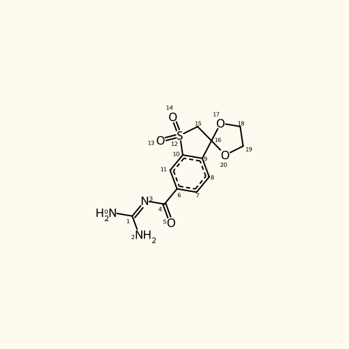 NC(N)=NC(=O)c1ccc2c(c1)S(=O)(=O)CC21OCCO1